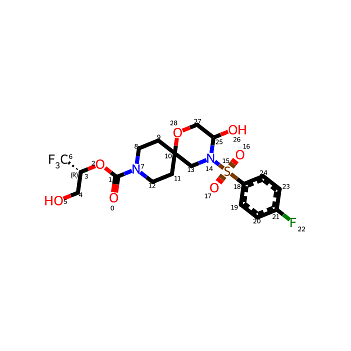 O=C(O[C@H](CO)C(F)(F)F)N1CCC2(CC1)CN(S(=O)(=O)c1ccc(F)cc1)C(O)CO2